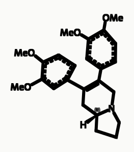 COc1ccc(C2=C(c3ccc(OC)c(OC)c3)CN3CCC[C@@H]3C2)cc1OC